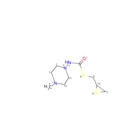 CN1CCN(NC(=O)SCC2CS2)CC1